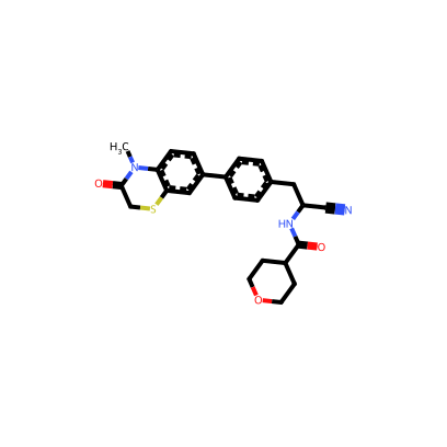 CN1C(=O)CSc2cc(-c3ccc(CC(C#N)NC(=O)C4CCOCC4)cc3)ccc21